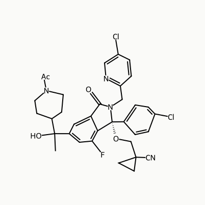 CC(=O)N1CCC(C(C)(O)c2cc(F)c3c(c2)C(=O)N(Cc2ccc(Cl)cn2)[C@@]3(OCC2(C#N)CC2)c2ccc(Cl)cc2)CC1